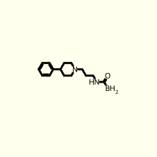 BC(=O)NCCCN1CCC(c2ccccc2)CC1